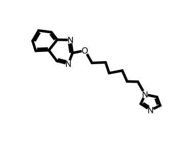 c1ccc2nc(OCCCCCCn3ccnc3)ncc2c1